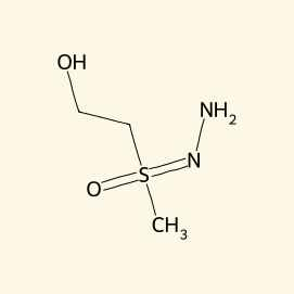 CS(=O)(CCO)=NN